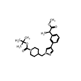 COC(=O)C(N)c1cccc(-c2cnn(CC3CCN(C(=O)OC(C)(C)C)CC3)c2)c1